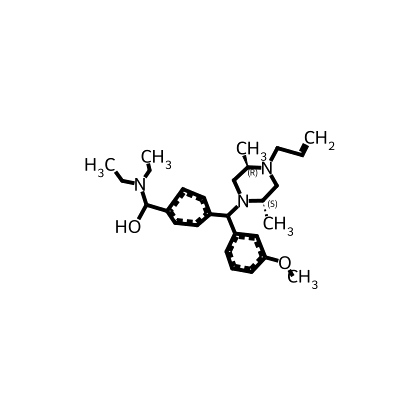 C=CCN1C[C@H](C)N(C(c2ccc(C(O)N(CC)CC)cc2)c2cccc(OC)c2)C[C@H]1C